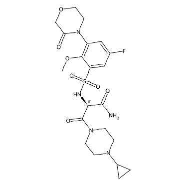 COc1c(N2CCOCC2=O)cc(F)cc1S(=O)(=O)N[C@@H](C(N)=O)C(=O)N1CCN(C2CC2)CC1